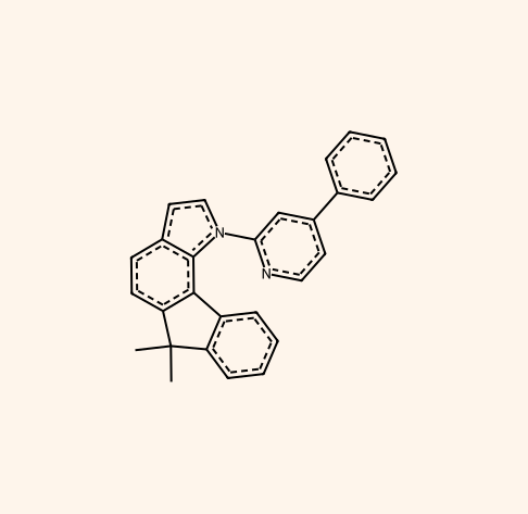 CC1(C)c2ccccc2-c2c1ccc1ccn(-c3cc(-c4ccccc4)ccn3)c21